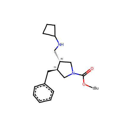 CC(C)(C)OC(=O)N1C[C@@H](CNC2CCC2)[C@H](Cc2ccccc2)C1